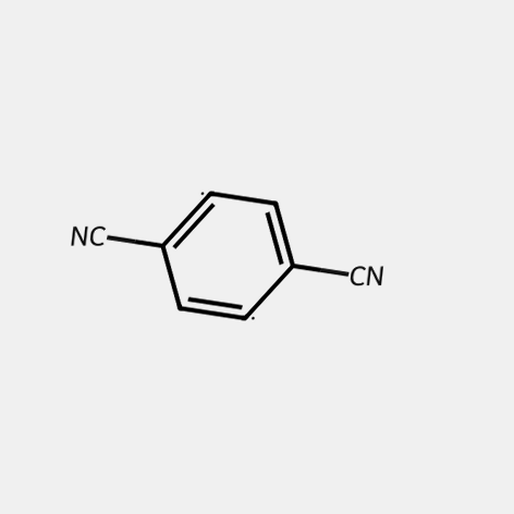 N#Cc1[c]cc(C#N)[c]c1